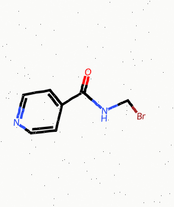 O=C(NCBr)c1ccncc1